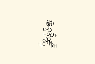 CC(=O)Nc1ncc(-c2cc(F)cc(-c3ccc(N4CCN(C)C4=O)c(Cl)c3)c2O)cc1N1CCNCC1